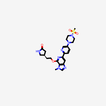 Cn1cnc2cc(-c3ccc(N4CCN(S(C)(=O)=O)CC4)cn3)nc(OCC[C@H]3CNC(=O)C3)c21